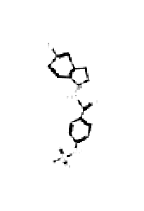 CS(=O)(=O)Nc1ccc(C(=O)N[C@@H]2CCc3cc(F)ccc32)cc1